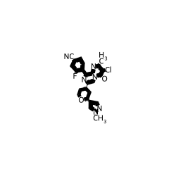 Cc1nc2c(-c3ccc(C#N)cc3F)nc([C@H]3CCO[C@H](c4cnn(C)c4)C3)cn2c(=O)c1Cl